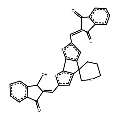 O=C1C(=Cc2cc3c(s2)-c2sc(/C=C4/C(=O)c5ccccc5C4O)cc2C32CCCCC2)C(=O)c2ccccc21